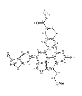 C=CC(=O)N1CCc2ccc(-c3nc(-c4ccc5c(c4)CNC5=O)c4ccsc4c3-c3c(F)cc(F)cc3OCCOC)cc2C1